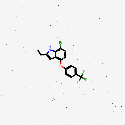 CCc1cc2c(Oc3ccc(C(F)(F)F)cc3)ccc(Br)c2[nH]1